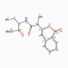 CCCN(C(=O)NC(CC(C)C)C(=O)OC)c1nc2ccccc2c(=O)o1